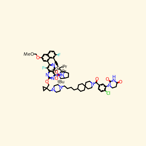 COCOc1cc(-c2ncc3c(N4CC5CCC(C4)N5C(=O)OC(C)(C)C)nc(OCC4(CN5CCN(CCCCC6CCC7(CC6)CCN(C(=O)c6ccc(Cl)c(N8CCC(=O)NC8=O)c6)CC7)CC5)CC4)nc3c2F)c2c(C#C[Si](C(C)C)(C(C)C)C(C)C)c(F)ccc2c1